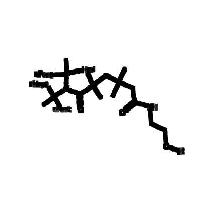 CCCCCCCC(C)(CCCCC)N(C(=O)C(C)(C)CC(C)(C)CC(=O)NCCOCC)C(C)(CCCCC)CCCCCC